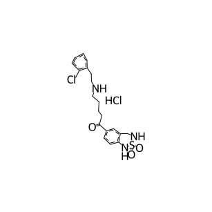 Cl.O=C(CCCCNCCc1ccccc1Cl)c1ccc2c(c1)CNS(=O)(=O)N2